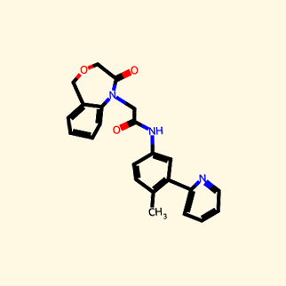 Cc1ccc(NC(=O)CN2C(=O)COCc3ccccc32)cc1-c1ccccn1